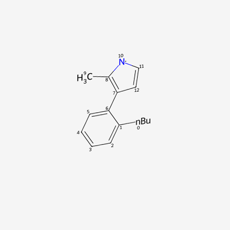 CCCCc1ccccc1C1=C(C)[N]C=C1